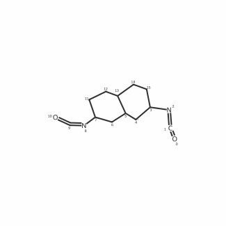 O=C=NC1[CH]C2CC(N=C=O)CCC2CC1